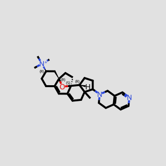 CC12CC=C3C=C4CC[C@@H]([N+](C)(C)C)C[C@]45CC[C@]3(O5)[C@@H]1CCC2N1CCc2ccncc2C1